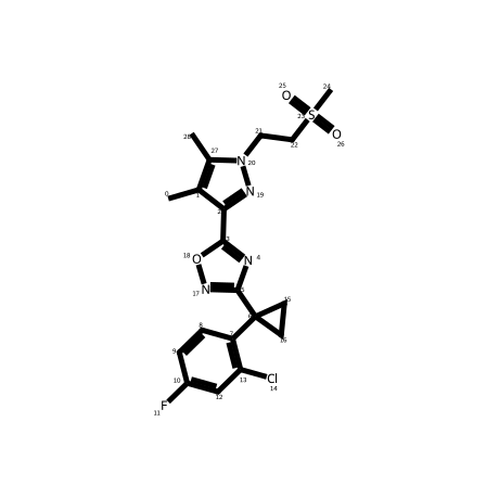 Cc1c(-c2nc(C3(c4ccc(F)cc4Cl)CC3)no2)nn(CCS(C)(=O)=O)c1C